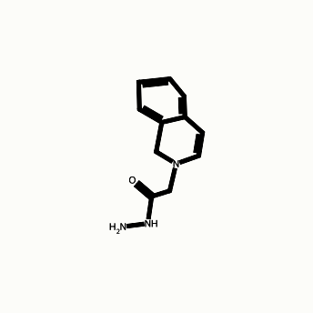 NNC(=O)CN1C=Cc2ccccc2C1